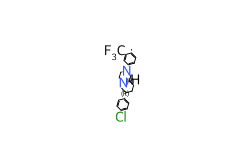 FC(F)(F)c1[c]ccc(N2CCN3C[C@@H](c4ccc(Cl)cc4)CC[C@@H]3C2)c1